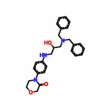 O=C1COCCN1c1ccc(NCC(O)CN(Cc2ccccc2)Cc2ccccc2)cc1